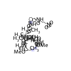 COc1cc2cc(c1Cl)N(C)C(=O)C[C@H](OC(=O)[C@H](C)N(C)C(=O)CCSSC(C)(C)CC(=O)N/N=C1/CCCc3cc(NC(=O)CCCCCN4C(=O)C=CC4=O)ccc31)[C@@H](C)[C@@H](O)[C@H](C)[C@@H]1C[C@@](O)(NC(=O)O1)[C@H](OC)/C=C/C=C(\C)C2